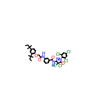 CCC(C)(C)c1ccc(OCC(=O)Nc2cccc(C(=O)NC3=NN(c4c(Cl)cc(Cl)cc4Cl)C(=O)C3(Cl)Cl)c2)c(C(C)(C)CC)c1